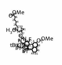 COCOc1cc(-c2c(F)cc3c(OC(C)(C)C)nc(OCC4(CN(C)CCCCCC(=O)OC)CC4)nc3c2F)c2c(C#C[Si](C(C)C)(C(C)C)C(C)C)cccc2c1